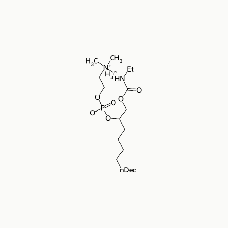 CCCCCCCCCCCCCCC(COC(=O)NCC)OP(=O)([O-])OCC[N+](C)(C)C